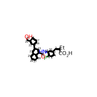 CCC(=Cc1ccc(F)c(NC(=O)c2cc(-c3cccc(CO)c3)cc3ccccc23)c1)C(=O)O